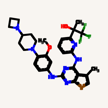 COc1cc(Nc2nc(Nc3cccc(C(C)(O)C(F)(F)F)n3)c3c(C)csc3n2)ccc1N1CCC(N2CCC2)CC1